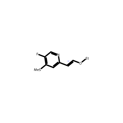 CCO/C=C/c1cc(SC)c(F)cn1